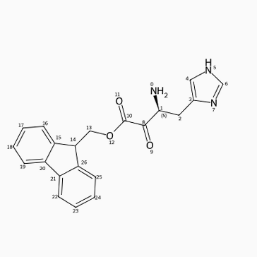 N[C@@H](Cc1c[nH]cn1)C(=O)C(=O)OCC1c2ccccc2-c2ccccc21